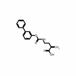 C=C(CCNC(=O)Oc1cccc(-c2ccccc2)c1)C(=O)O